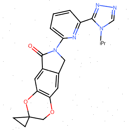 CC(C)n1cnnc1-c1cccc(N2Cc3cc4c(cc3C2=O)OC2(CC2)CO4)n1